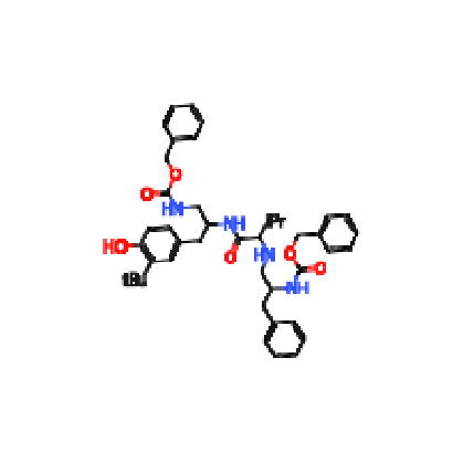 CC(C)C(NCC(Cc1ccccc1)NC(=O)OCc1ccccc1)C(=O)NC(CNC(=O)OCc1ccccc1)Cc1ccc(O)c(C(C)(C)C)c1